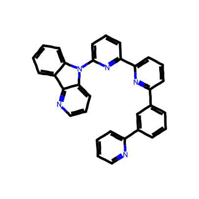 c1ccc(-c2cccc(-c3cccc(-c4cccc(-n5c6ccccc6c6ncccc65)n4)n3)c2)nc1